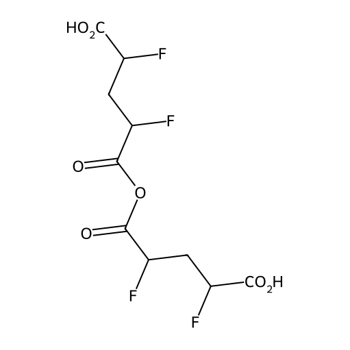 O=C(O)C(F)CC(F)C(=O)OC(=O)C(F)CC(F)C(=O)O